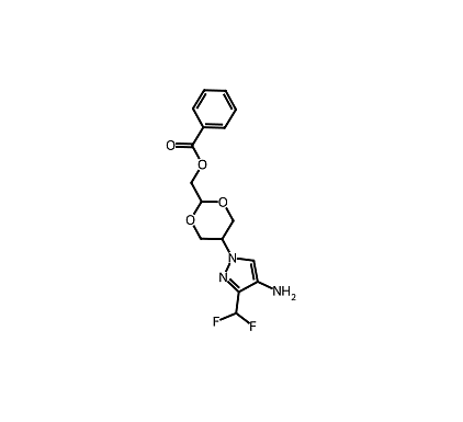 Nc1cn(C2COC(COC(=O)c3ccccc3)OC2)nc1C(F)F